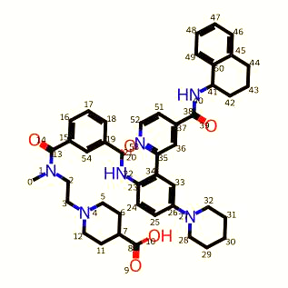 CN(CCN1CCC(C(=O)O)CC1)C(=O)c1cccc(C(=O)Nc2ccc(N3CCCCC3)cc2-c2cc(C(=O)NC3CCCc4ccccc43)ccn2)c1